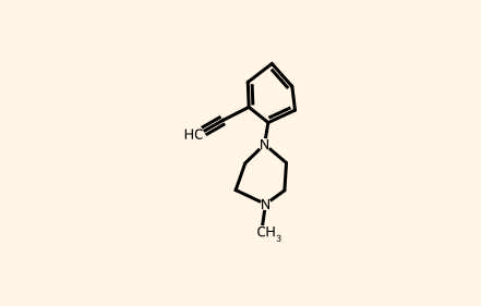 C#Cc1ccccc1N1CCN(C)CC1